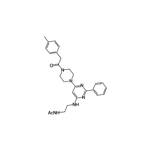 CC(=O)NCCNc1cc(N2CCN(C(=O)Cc3ccc(C)cc3)CC2)nc(-c2ccccc2)n1